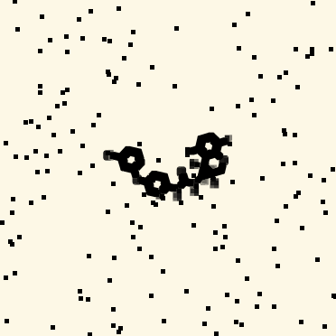 O=C(Nc1ccc(Oc2cccc(Cl)c2)cn1)N[C@@H]1[C@@H]2COc3c(F)ccc(F)c3[C@@H]21